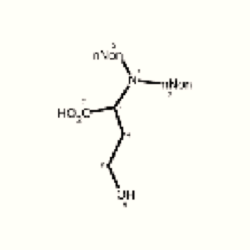 CCCCCCCCCN(CCCCCCCCC)C(CCO)C(=O)O